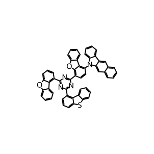 c1ccc2cc3c(cc2c1)c1ccccc1n3-c1ccc(-c2nc(-c3cccc4oc5ccccc5c34)nc(-c3cccc4sc5ccccc5c34)n2)c2oc3ccccc3c12